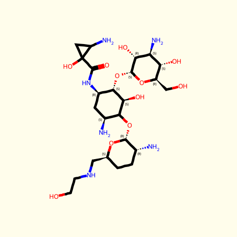 NC1CC1(O)C(=O)N[C@@H]1C[C@H](N)C(O[C@H]2O[C@H](CNCCO)CC[C@H]2N)[C@H](O)[C@H]1O[C@H]1O[C@H](CO)[C@@H](O)[C@H](N)[C@H]1O